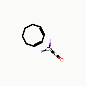 C1=CCCCCC=C1.O=[C]=[Co]([I])[I]